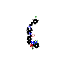 O=C(NC1CCc2ccc(C(=O)N3CCC4(CCN(CCCc5cccc(F)c5)CC4)C3)cc21)c1c(F)cccc1Cl